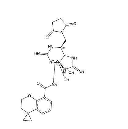 N=C1NC2[C@H](CN3C(=O)CCC3=O)NC(=N)N3CC(NC(=O)c4cccc5c4OCCC54CC4)C(O)(O)[C@]23N1